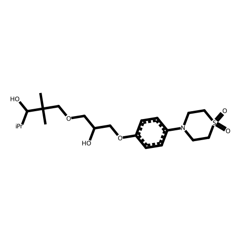 CC(C)C(O)C(C)(C)COCC(O)COc1ccc(N2CCS(=O)(=O)CC2)cc1